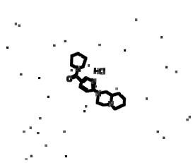 Cl.O=C(c1ccc(N2CCN3CCCCC3C2)nc1)N1CCCCC1